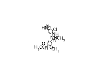 CNC(=O)Cc1ccc(-c2nc(Nc3ccc4[nH]ncc4c3Cl)n(C)n2)cc1OC